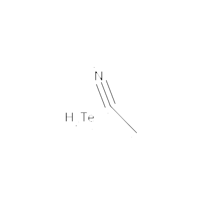 CC#N.[TeH2]